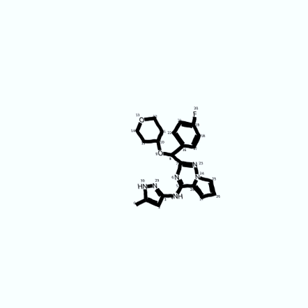 Cc1cc(Nc2nc(C(OC3CCOCC3)c3ccc(F)cc3)nn3cccc23)n[nH]1